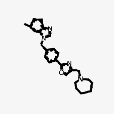 Cc1ccc2ncn(Cc3ccc(-c4nc(CN5CCCCCC5)co4)cc3)c2c1